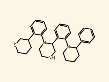 [CH]1SCCCC1c1ccccc1N1CCNCC1c1ccccc1N1CCCCC1c1ccccc1